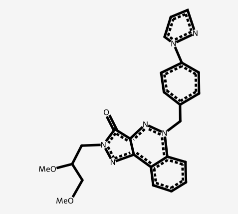 COCC(Cn1nc2c3ccccc3n(Cc3ccc(-n4cccn4)cc3)nc-2c1=O)OC